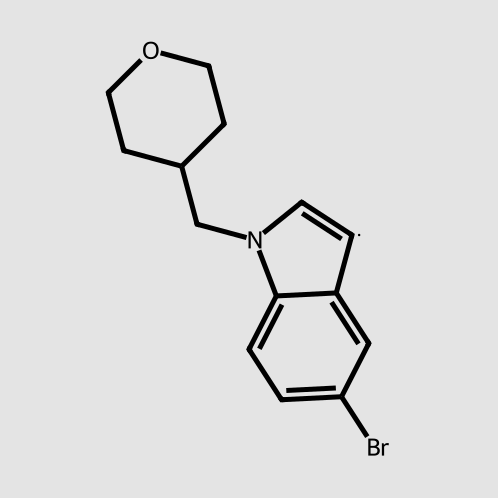 Brc1ccc2c([c]cn2CC2CCOCC2)c1